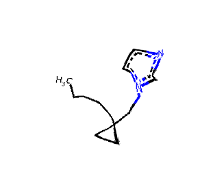 CCCC1(Cn2ccnc2)CC1